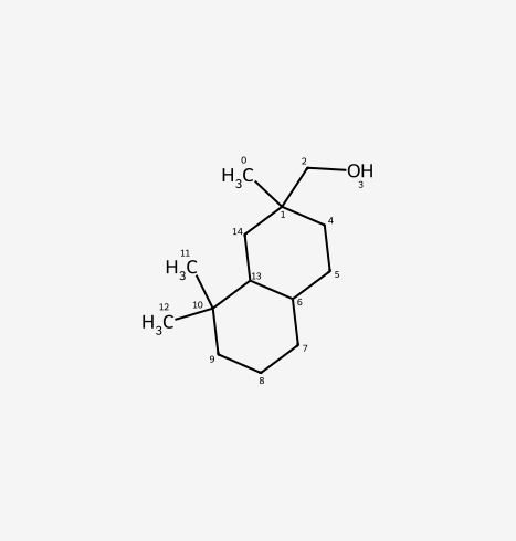 CC1(CO)CCC2CCCC(C)(C)C2C1